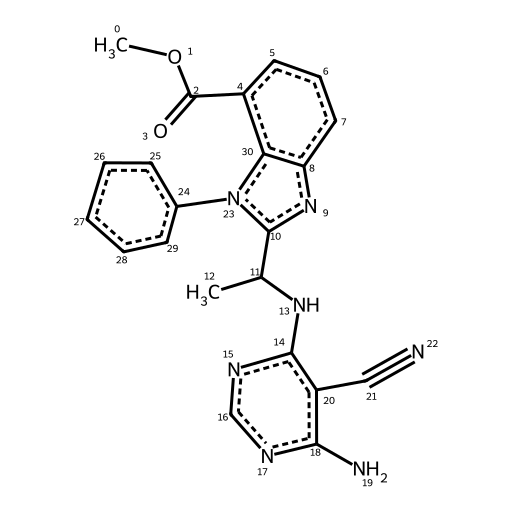 COC(=O)c1cccc2nc(C(C)Nc3ncnc(N)c3C#N)n(-c3ccccc3)c12